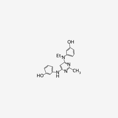 CCN(c1cccc(O)c1)c1cc(Nc2cccc(O)c2)nc(C)n1